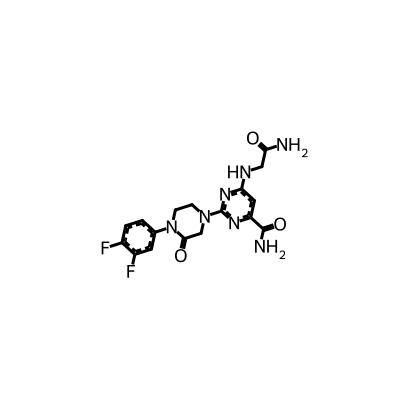 NC(=O)CNc1cc(C(N)=O)nc(N2CCN(c3ccc(F)c(F)c3)C(=O)C2)n1